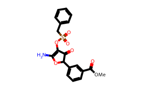 COC(=O)c1cccc(C2OC(N)=C(OS(=O)(=O)Cc3ccccc3)C2=O)c1